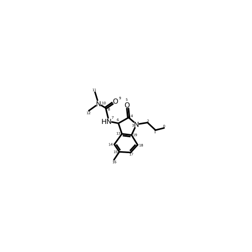 CCCN1C(=O)C(NC(=O)N(C)C)c2cc(C)ccc21